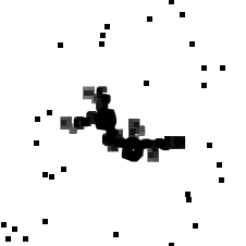 CCOc1ccc(-c2nc(C3=CCCC(CNCCO)=C3C)no2)cc1OCC